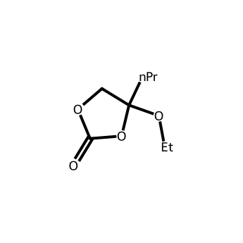 CCCC1(OCC)COC(=O)O1